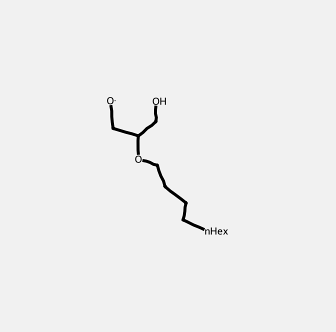 CCCCCCCCCCOC(C[O])CO